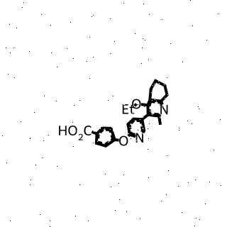 CCOc1c2c(nc(C)c1-c1ccc(Oc3ccc(C(=O)O)cc3)nc1)CCCC2